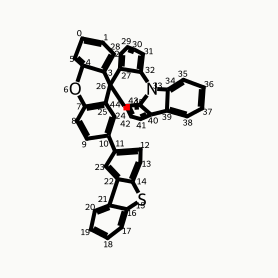 c1ccc2c(c1)Oc1ccc(-c3ccc4sc5ccccc5c4c3)cc1C21c2ccccc2-n2c3ccccc3c3cccc1c32